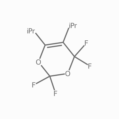 CC(C)C1=C(C(C)C)C(F)(F)OC(F)(F)O1